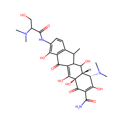 CC1c2ccc(NC(=O)C(CO)N(C)C)c(O)c2C(=O)C2=C(O)[C@@]3(O)C(=O)C(C(N)=O)=C(O)[C@@H](N(C)C)[C@H]3C(O)C21